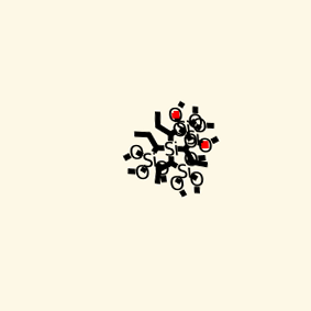 CCC([Si](OC)(OC)OC)[Si](C(CC)[Si](OC)(OC)OC)(C(CC)[Si](OC)(OC)OC)C(CC)[Si](OC)(OC)OC